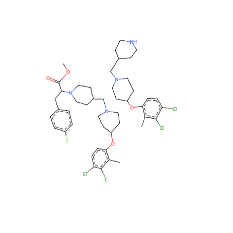 COC(=O)C(Cc1ccc(F)cc1)N1CCC(CN2CCC(Oc3ccc(Cl)c(Cl)c3C)CC2)CC1.Cc1c(OC2CCN(CC3CCNCC3)CC2)ccc(Cl)c1Cl